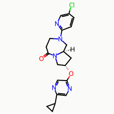 O=C1CCN(c2ccc(Cl)cn2)C[C@H]2C[C@H](Oc3cnc(C4CC4)cn3)CN12